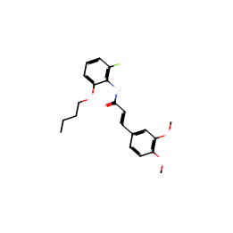 CCCCOc1cccc(F)c1NC(=O)/C=C/c1ccc(OC)c(OC)c1